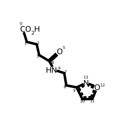 O=C(O)CCCC(=O)NCCc1ccon1